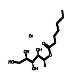 CCCCCCC(=O)O[C@@H](C)[C@@H](O)[C@H](O)[C@H](O)CO.[Zn]